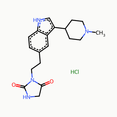 CN1CCC(c2c[nH]c3ccc(CCN4C(=O)CNC4=O)cc23)CC1.Cl